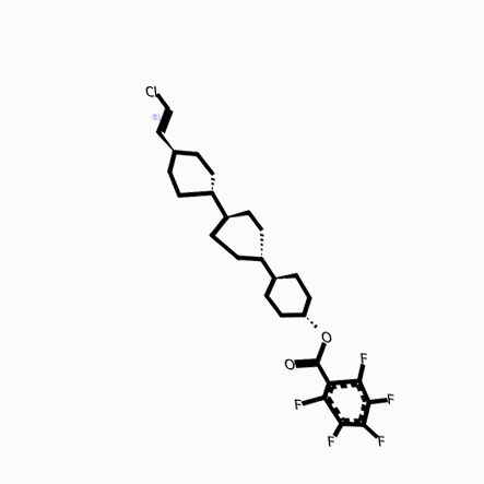 O=C(O[C@H]1CC[C@H]([C@H]2CC[C@H]([C@H]3CC[C@H](/C=C/Cl)CC3)CC2)CC1)c1c(F)c(F)c(F)c(F)c1F